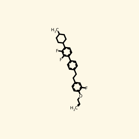 C=CCOc1ccc(CCc2ccc(-c3ccc(C4CCC(C)CC4)c(F)c3F)cc2)cc1F